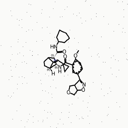 COc1ccc(C2=NOC3COCC23)cc1C(=O)N[C@@H]1[C@@H]2CCC(/C2=C/C2CC2)[C@@H]1C(=O)NC1CCCCC1